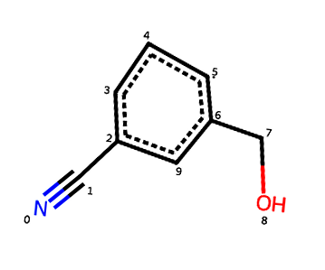 N#Cc1cc[c]c(CO)c1